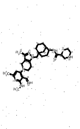 CNc1nc(C)cc(N2CCc3c(c(C)nn3CC34CCCC(C3)C(NC(=O)C3CNCCO3)CC4)C2)c1C=N